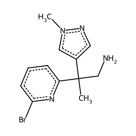 Cn1cc(C(C)(CN)c2cccc(Br)n2)cn1